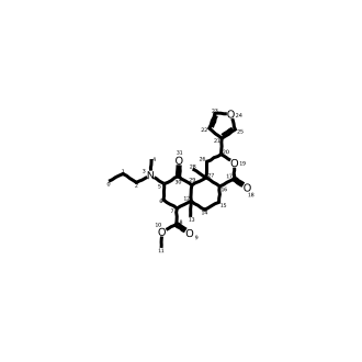 CCCN(C)C1CC(C(=O)OC)C2(C)CCC3C(=O)OC(c4ccoc4)CC3(C)C2C1=O